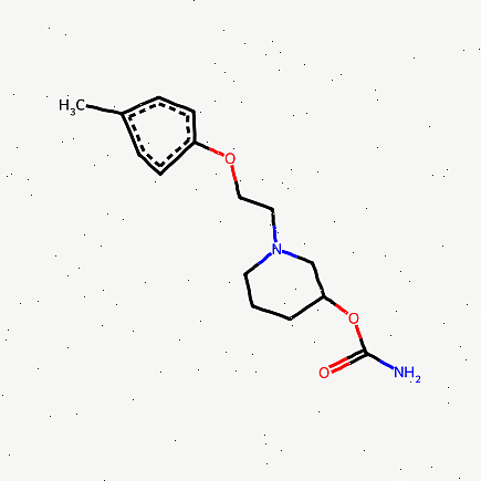 Cc1ccc(OCCN2CCCC(OC(N)=O)C2)cc1